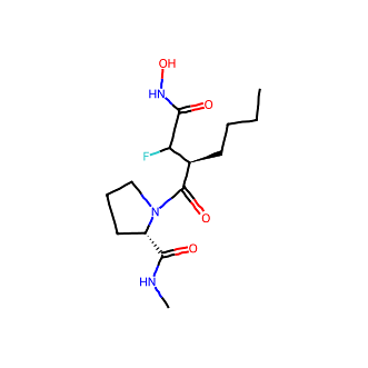 CCCC[C@@H](C(=O)N1CCC[C@H]1C(=O)NC)C(F)C(=O)NO